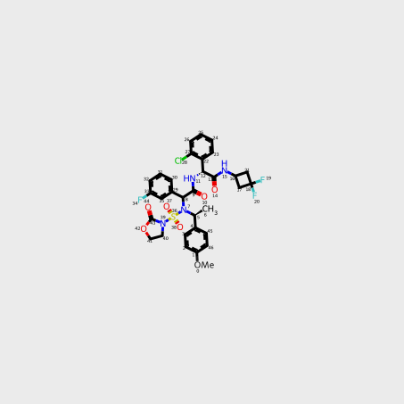 COc1ccc([C@H](C)N(C(C(=O)N[C@@H](C(=O)NC2CC(F)(F)C2)c2ccccc2Cl)c2cccc(F)c2)S(=O)(=O)N2CCOC2=O)cc1